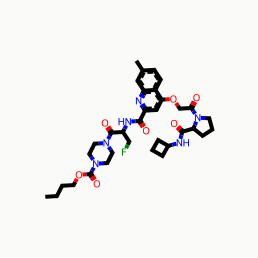 CCCCOC(=O)N1CCN(C(=O)C(CF)NC(=O)c2cc(OCC(=O)N3CCCC3C(=O)NC3CCC3)c3ccc(C)cc3n2)CC1